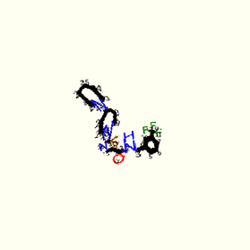 O=C(NCc1cccc(C(F)(F)F)c1)c1cnc(N2CCC(N3CCCCC3)CC2)s1